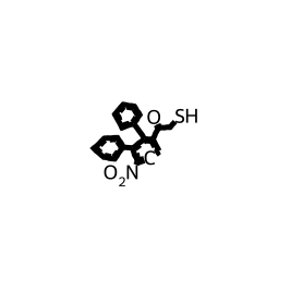 O=C(CS)c1ccc([N+](=O)[O-])c(-c2ccccc2)c1-c1ccccc1